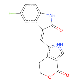 O=C1Nc2ccc(F)cc2C1=Cc1[nH]cc2c1CCOC2=O